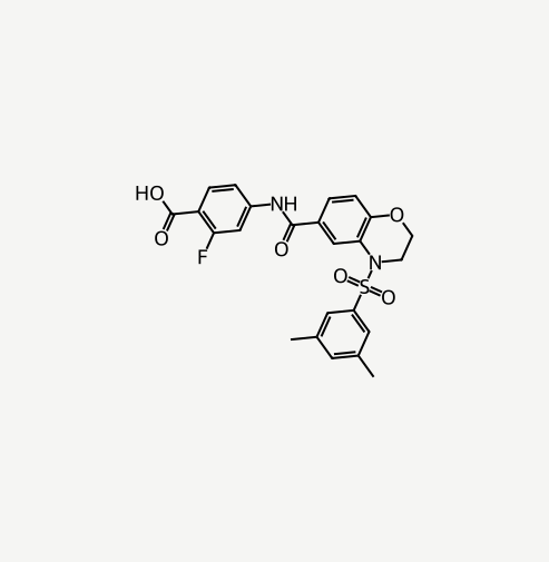 Cc1cc(C)cc(S(=O)(=O)N2CCOc3ccc(C(=O)Nc4ccc(C(=O)O)c(F)c4)cc32)c1